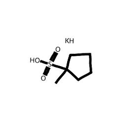 CC1(S(=O)(=O)O)CCCC1.[KH]